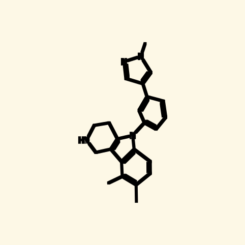 Cc1ccc2c(c1C)c1c(n2-c2cccc(-c3cnn(C)c3)c2)CCNC1